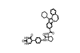 O=C(NC1(C(=O)Nc2ccc(-c3c[nH]c(=O)[nH]c3=O)cc2)CCCC1)c1ccc2c(C3CCCCC3)c3n(c2c1)CC=Cc1ccccc1-3